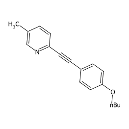 CCCCOc1ccc(C#Cc2ccc(C)cn2)cc1